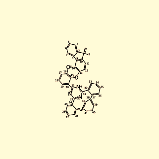 CC1(C)c2ccccc2-c2c1ccc1c2Oc2cccc(-c3nc(-c4ccccc4)nc(-c4ccccc4-c4ccccc4)n3)c2O1